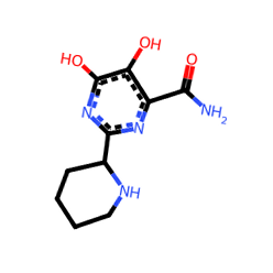 NC(=O)c1nc(C2CCCCN2)nc(O)c1O